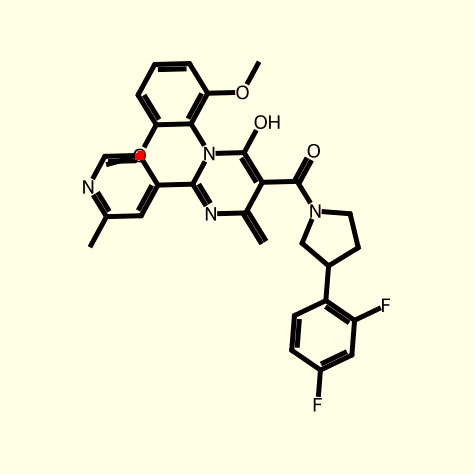 C=C1N=C(c2ccnc(C)c2)N(c2c(OC)cccc2OC)C(O)=C1C(=O)N1CCC(c2ccc(F)cc2F)C1